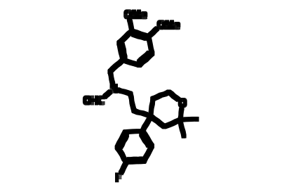 COc1ccc(CN(C=O)CCC2(c3ccc(F)cc3)CCOC(C)(C)C2)cc1OC